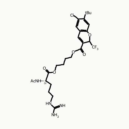 CC(=O)N[C@@H](CCCNC(=N)N)C(=O)OCCCCOC(=O)C1=Cc2cc(Cl)c(C(C)(C)C)cc2OC1C(F)(F)F